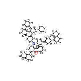 c1ccc(-c2ccc(-c3ccccc3-c3ccc(N(c4ccc(-c5ccc(-c6cccc7ccccc67)cc5)cc4)c4ccc(-c5cccc6ccccc56)c5oc6ccccc6c45)cc3)c(-c3ccccc3)c2)cc1